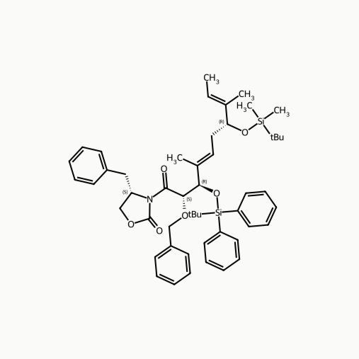 CC=C(C)[C@@H](CC=C(C)[C@@H](O[Si](c1ccccc1)(c1ccccc1)C(C)(C)C)[C@H](OCc1ccccc1)C(=O)N1C(=O)OC[C@@H]1Cc1ccccc1)O[Si](C)(C)C(C)(C)C